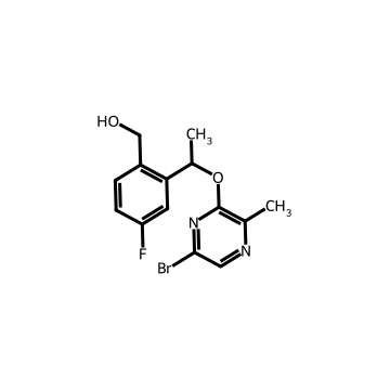 Cc1ncc(Br)nc1OC(C)c1cc(F)ccc1CO